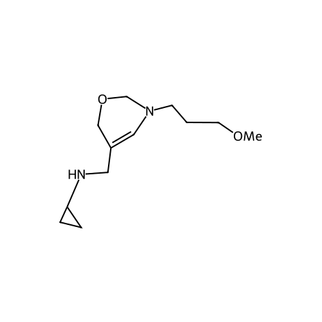 COCCCN1C=C(CNC2CC2)COC1